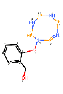 OCc1ccccc1On1pn[pH][nH][pH][nH][pH]1